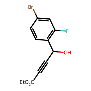 CCOC(=O)C#CC(O)c1ccc(Br)cc1F